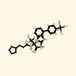 O=C(CCC1CCCC1)NC1(C(F)(F)F)C(=O)Nc2nc3c(-c4ccc(C(F)(F)F)cc4)cccc3n21